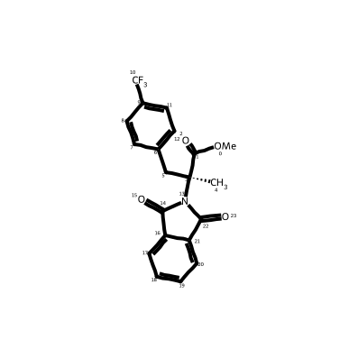 COC(=O)[C@](C)(Cc1ccc(C(F)(F)F)cc1)N1C(=O)c2ccccc2C1=O